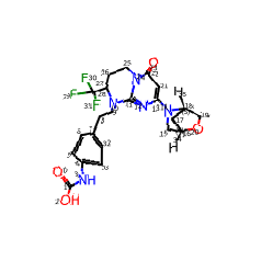 O=C(O)Nc1ccc(CCN2c3nc(N4C[C@@H]5C[C@H]4CO5)cc(=O)n3CCC2C(F)(F)F)cc1